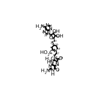 CC12Nc3nc(N)[nH]c(=O)c3N=C1C(=O)N2CCN1CCC(SC[C@H]2O[C@@H](n3cnc4c(N)ncnc43)C(O)C2O)CC1C(=O)O